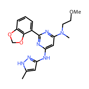 COCCN(C)c1cc(Nc2cc(C)[nH]n2)nc(-c2cccc3c2OCO3)n1